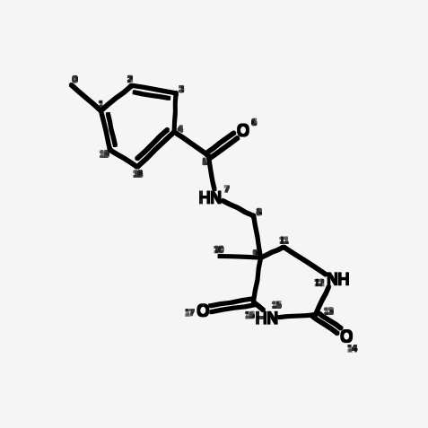 Cc1ccc(C(=O)NCC2(C)CNC(=O)NC2=O)cc1